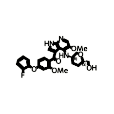 COc1cc(Oc2ccccc2F)ccc1C(=O)c1c[nH]c2ncc(OC)c(N[C@@H]3CC[C@@H](CO)OC3)c12